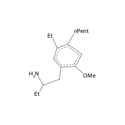 CCCCCc1cc(OC)c(CC(N)CC)cc1CC